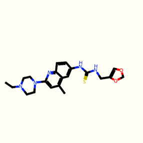 CCN1CCN(c2cc(C)c3cc(NC(=S)NCC4=COCO4)ccc3n2)CC1